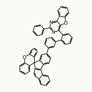 c1ccc(-c2nc(-c3ccccc3-c3cccc(-c4ccc5c(c4)C4(c6ccccc6Oc6ccccc64)c4ccc6ccccc6c4-5)c3)c3oc4ccccc4c3n2)cc1